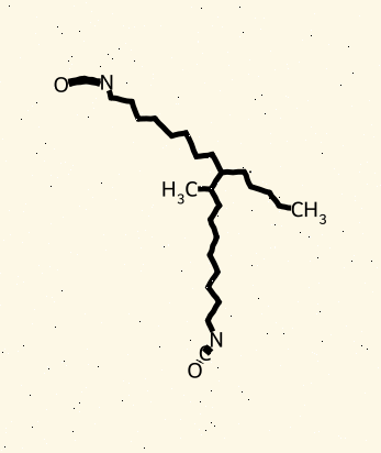 CCCC[CH]C(CCCCCCCCN=C=O)C(C)CCCCCCCCN=C=O